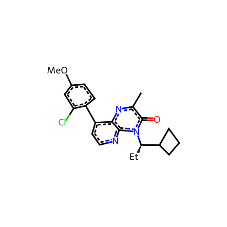 CC[C@H](C1CCC1)n1c(=O)c(C)nc2c(-c3ccc(OC)cc3Cl)ccnc21